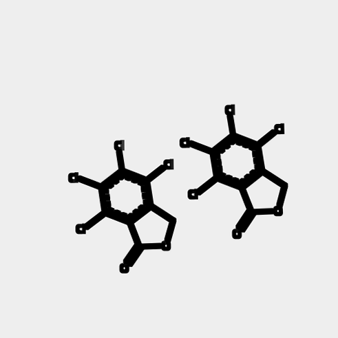 O=C1OCc2c(Cl)c(Cl)c(Cl)c(Cl)c21.O=C1OCc2c(Cl)c(Cl)c(Cl)c(Cl)c21